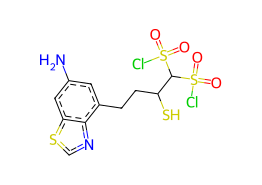 Nc1cc(CCC(S)C(S(=O)(=O)Cl)S(=O)(=O)Cl)c2ncsc2c1